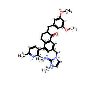 COc1cc(CC2CCc3c(cc(Cn4ccn(C)c4=N)cc3-c3ccc(C)nc3C)C2=O)cc(OC)c1